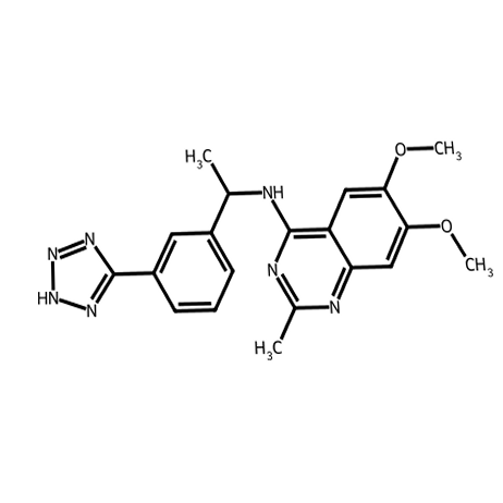 COc1cc2nc(C)nc(NC(C)c3cccc(-c4nn[nH]n4)c3)c2cc1OC